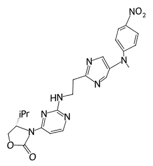 CC(C)[C@H]1COC(=O)N1c1ccnc(NCCc2ncc(N(C)c3ccc([N+](=O)[O-])cc3)cn2)n1